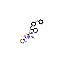 C[C@@H](NC(=O)[C@H]1CSCCN1)C(=O)NSC(Cc1ccc(Oc2ccccc2)cc1)C1CCCCC1